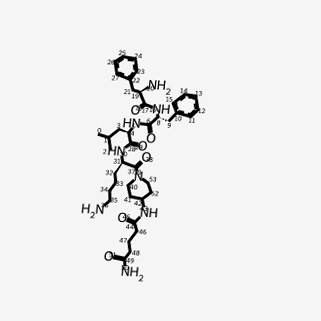 CC(C)C[C@@H](NC(=O)[C@@H](Cc1ccccc1)NC(=O)[C@H](N)Cc1ccccc1)C(=O)N[C@H](CCCCN)C(=O)N1CCC(NC(=O)CCCC(N)=O)CC1